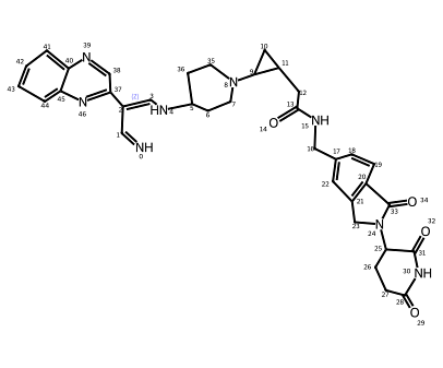 N=C/C(=C\NC1CCN(C2CC2CC(=O)NCc2ccc3c(c2)CN(C2CCC(=O)NC2=O)C3=O)CC1)c1cnc2ccccc2n1